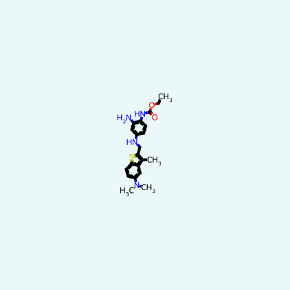 CCOC(=O)Nc1ccc(NCc2sc3ccc(N(C)C)cc3c2C)cc1N